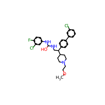 COCCN1CCC(C(CNC(O)Nc2ccc(F)c(Cl)c2)c2ccc(-c3cccc(Cl)c3)cc2)CC1